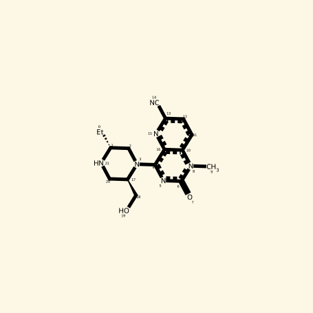 CC[C@@H]1CN(c2nc(=O)n(C)c3ccc(C#N)nc23)[C@@H](CO)CN1